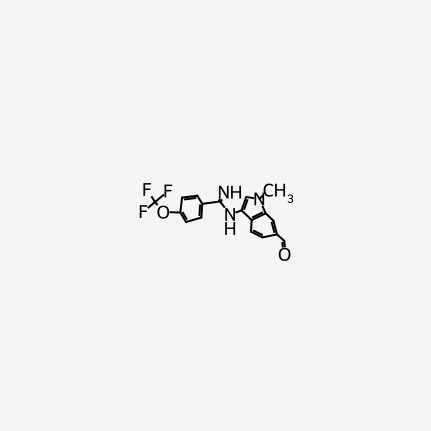 Cn1cc(NC(=N)c2ccc(OC(F)(F)F)cc2)c2ccc(C=O)cc21